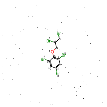 BrCC(Br)COc1c(Br)cc(Br)cc1Br